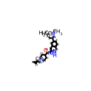 C=C=C/C(=C\N(C)C)c1ccc2c(c1)C=C(NC(=O)C1CCN(CC3(C(F)(F)F)CC3)CC1)NC2